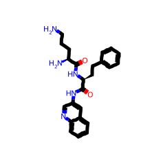 NCCC[C@H](N)C(=O)N[C@@H](CCc1ccccc1)C(=O)Nc1cnc2ccccc2c1